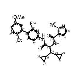 CCc1ncc(OC)cc1-c1ccc(NC(=O)[C@@H](NC(=O)c2ccnn2C(C)C)C(C2CC2)C2CC2)nc1F